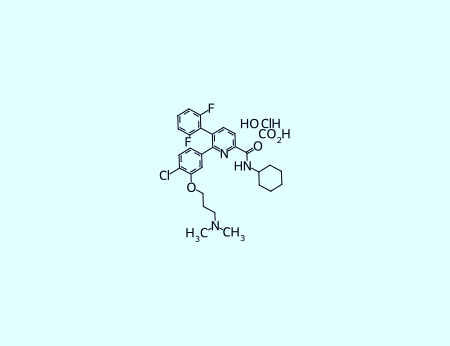 CN(C)CCCOc1cc(-c2nc(C(=O)NC3CCCCC3)ccc2-c2c(F)cccc2F)ccc1Cl.Cl.O=C(O)O